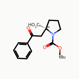 CC(C)(C)OC(=O)N1CCC[C@@]1(CC(=O)c1ccccc1)C(=O)O